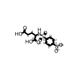 O=C(O)CCC(NS(=O)(=O)c1ccc([N+](=O)[O-])cc1)C(=O)O